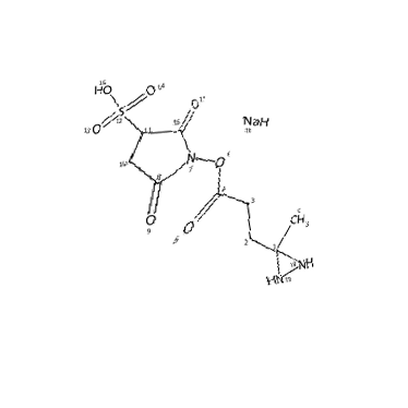 CC1(CCC(=O)ON2C(=O)CC(S(=O)(=O)O)C2=O)NN1.[NaH]